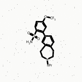 CCCN1CCc2ccc(-c3cc(OC(F)(F)F)ccc3S(N)(=O)=O)cc2CC1